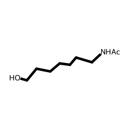 CC(=O)NCCCCCCCO